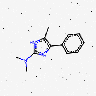 Cc1[nH]c(N(C)C)nc1-c1ccccc1